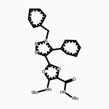 CC(C)(C)NC(=O)c1nc(-c2nnn(Cc3ccccc3)c2-c2ccccc2)oc1NC(C)(C)C